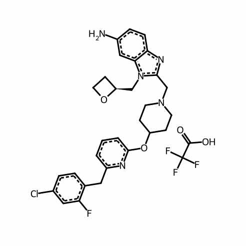 Nc1ccc2nc(CN3CCC(Oc4cccc(Cc5ccc(Cl)cc5F)n4)CC3)n(C[C@@H]3CCO3)c2c1.O=C(O)C(F)(F)F